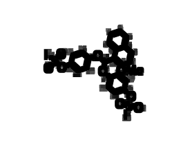 COc1ccc2ccccc2c1C(Oc1ccc(OS(=O)(=O)F)cc1)Oc1ccc(OS(=O)(=O)F)cc1